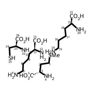 CSCC[C@H](N)C(=O)O.NCCCC[C@H](N)C(=O)O.NCCCC[C@H](N)C(=O)O.N[C@@H](CS)C(=O)O